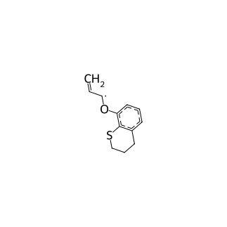 C=C[CH]Oc1cccc2c1SCCC2